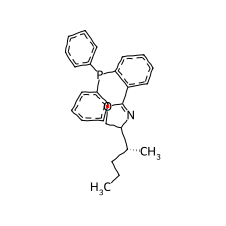 CCC[C@@H](C)C1COC(c2ccccc2P(c2ccccc2)c2ccccc2)=N1